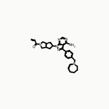 C=CC(=O)N1CC2CC(n3nc(-c4ccc(CN5CCCCCC5)cc4)c4c(N)ncnc43)CC2C1